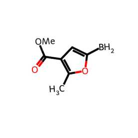 Bc1cc(C(=O)OC)c(C)o1